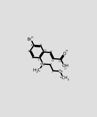 COCCN(C)c1ccc(Br)cc1C=CC(=O)O